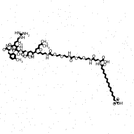 Cc1ccc(C[C@H](NC(=O)C(CCCNC(=N)N)C(C)C(=O)[C@H](C)NC(=O)C[C@H](CC(=O)[C@H](CCCCNC(=O)COCCOCCNC(=O)COCCOCCNC(=O)CC[C@H](NC(=O)CCCCCCCCCCCCCCCS(=O)(=O)O)C(=O)O)CC(=O)CC(C)C)C(=O)O)C(N)=O)cc1